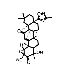 Cc1noc([C@]23CCC(C)(C)C[C@H]2[C@H]2C(=O)C=C4[C@]5(C)C(CC[C@@]4(C)[C@]2(C)CC3)[C@](C)(O)C(=O)[C@]2(C#N)O[C@@H]25)n1